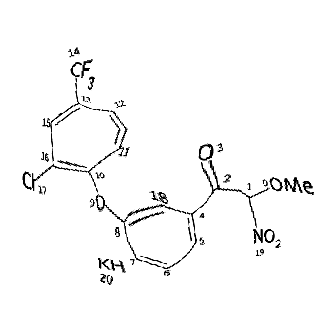 COC(C(=O)c1cccc(Oc2ccc(C(F)(F)F)cc2Cl)c1)[N+](=O)[O-].[KH]